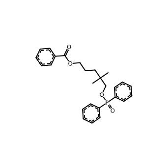 CC(C)(CCCOC(=O)c1ccccc1)COP(=O)(c1ccccc1)c1ccccc1